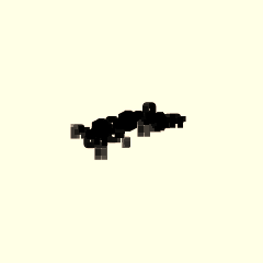 CC(C)C(=O)c1ccc(OCc2ccc(CNC(=O)c3cn(C(C)C)cn3)cc2)c(C(F)(F)F)c1O